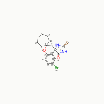 O=C1NC(=S)NC12CC1(CCCCCC1)Oc1ccc(Br)cc12